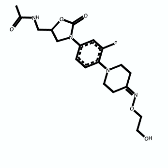 CC(=O)NCC1CN(c2ccc(N3CCC(=NOCCO)CC3)c(F)c2)C(=O)O1